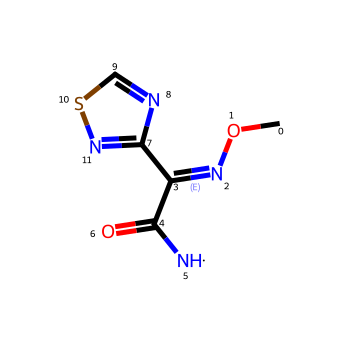 CO/N=C(/C([NH])=O)c1ncsn1